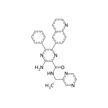 C[C@H](NC(=O)c1nc(-c2ccc3ncccc3c2)c(-c2ccccc2)nc1N)c1cnccn1